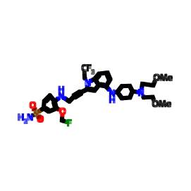 COCCN(CCOC)C1CCC(Nc2cccc3c2cc(C#CCNc2ccc(S(N)(=O)=O)cc2OCF)n3CC(F)(F)F)CC1